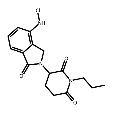 CCCN1C(=O)CCC(N2Cc3c(NCl)cccc3C2=O)C1=O